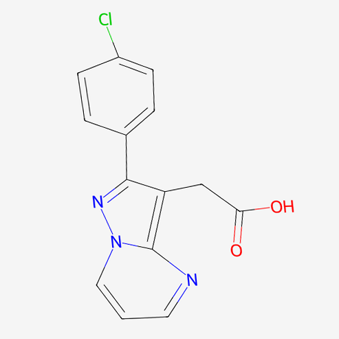 O=C(O)Cc1c(-c2ccc(Cl)cc2)nn2cccnc12